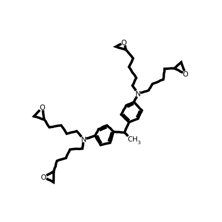 CC(c1ccc(N(CCCCC2CO2)CCCCC2CO2)cc1)c1ccc(N(CCCCC2CO2)CCCCC2CO2)cc1